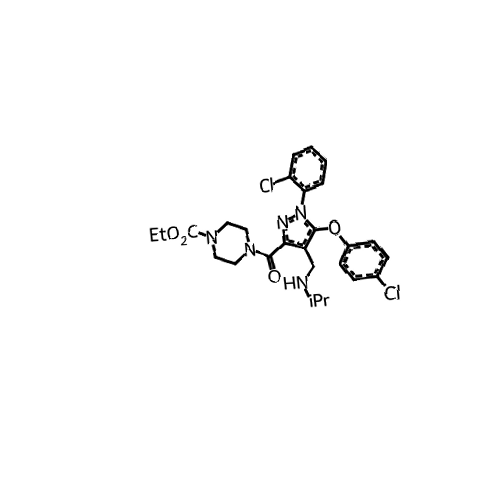 CCOC(=O)N1CCN(C(=O)c2nn(-c3ccccc3Cl)c(Oc3ccc(Cl)cc3)c2CNC(C)C)CC1